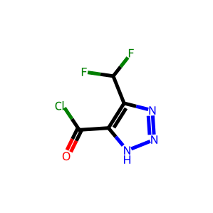 O=C(Cl)c1[nH]nnc1C(F)F